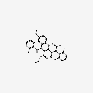 CCOC(=O)c1c(C(=O)N(C(C)=O)c2c(C)cccc2C)cc2ccc(OC)cc2c1Nc1c(C)cccc1C